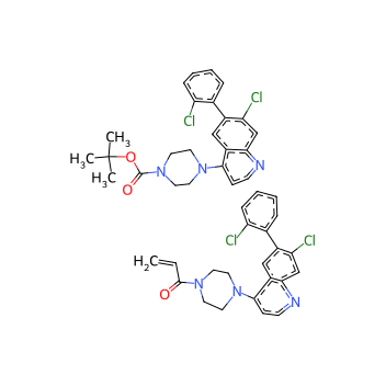 C=CC(=O)N1CCN(c2ccnc3cc(Cl)c(-c4ccccc4Cl)cc23)CC1.CC(C)(C)OC(=O)N1CCN(c2ccnc3cc(Cl)c(-c4ccccc4Cl)cc23)CC1